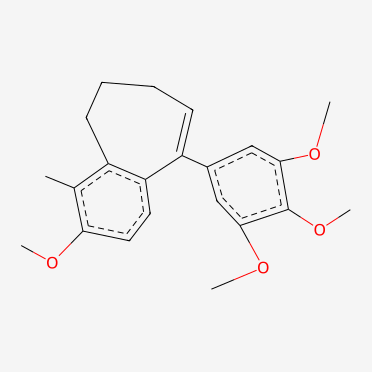 COc1ccc2c(c1C)CCCC=C2c1cc(OC)c(OC)c(OC)c1